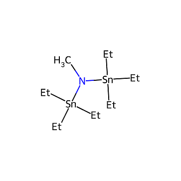 C[CH2][Sn]([CH2]C)([CH2]C)[N](C)[Sn]([CH2]C)([CH2]C)[CH2]C